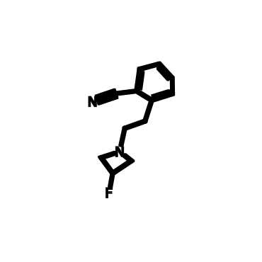 N#Cc1ccccc1CCN1CC(F)C1